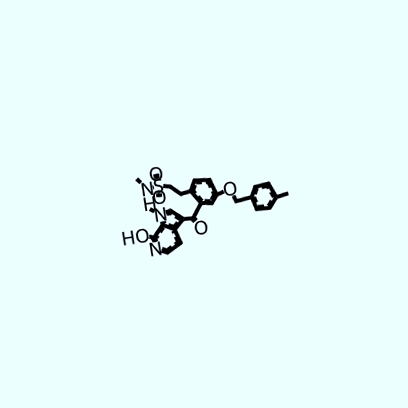 CNS(=O)(=O)CCc1ccc(OCc2ccc(C)cc2)cc1C(=O)c1cn(C)c2c(O)nccc12